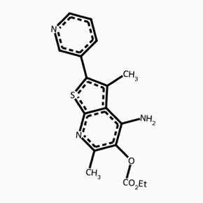 CCOC(=O)Oc1c(C)nc2sc(-c3cccnc3)c(C)c2c1N